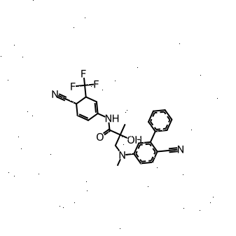 CN(CC(C)(O)C(=O)NC1=CC(C(F)(F)F)C(C#N)C=C1)c1ccc(C#N)c(-c2ccccc2)c1